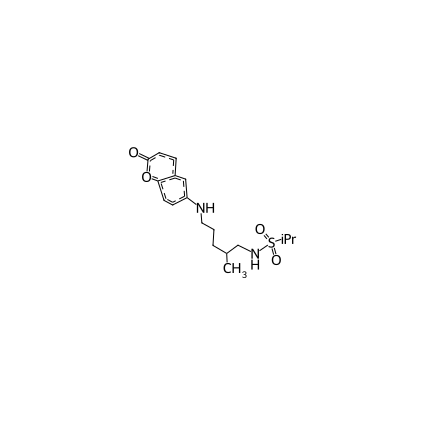 CC(CCCNc1ccc2oc(=O)ccc2c1)CNS(=O)(=O)C(C)C